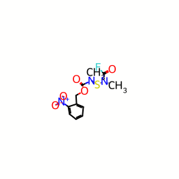 CN(SN(C)C(=O)OCc1ccccc1[N+](=O)[O-])C(=O)F